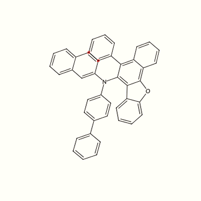 c1ccc(-c2ccc(N(c3ccc4ccccc4c3)c3c(-c4ccccc4)c4ccccc4c4oc5ccccc5c34)cc2)cc1